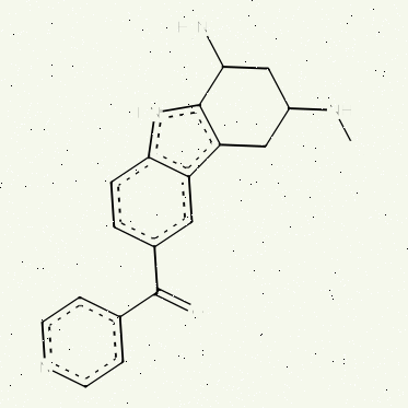 CCNC1Cc2c([nH]c3ccc(C(=O)c4ccncc4)cc23)C(N)C1